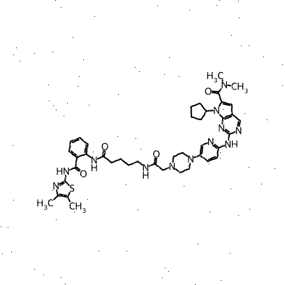 Cc1nc(NC(=O)c2ccccc2NC(=O)CCCCNC(=O)CN2CCN(c3ccc(Nc4ncc5cc(C(=O)N(C)C)n(C6CCCC6)c5n4)nc3)CC2)sc1C